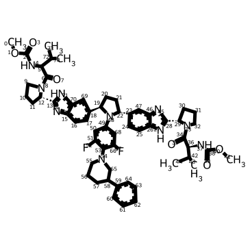 COC(=O)NC(C(=O)N1CCC[C@H]1c1nc2ccc([C@H]3CC[C@H](c4ccc5[nH]c([C@@H]6CCCN6C(=O)[C@@H](NC(=O)OC)C(C)C)nc5c4)N3c3cc(F)c(N4CCCC(c5ccccc5)C4)c(F)c3)cc2[nH]1)C(C)C